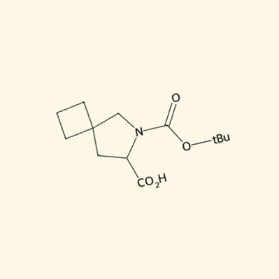 CC(C)(C)OC(=O)N1CC2(CCC2)CC1C(=O)O